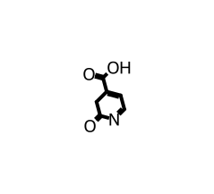 O=C1CC(C(=O)O)=CC=N1